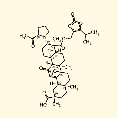 CC(=O)[C@H]1CCCN1[C@H]1CC[C@@]2(C)[C@@H](CC[C@]3(C)[C@@H]2C(=O)C=C2[C@@H]4C[C@@](C)(C(=O)O)CC[C@]4(C)CC[C@]23C)[C@]1(C)C(=O)OCc1oc(=O)oc1C(C)C